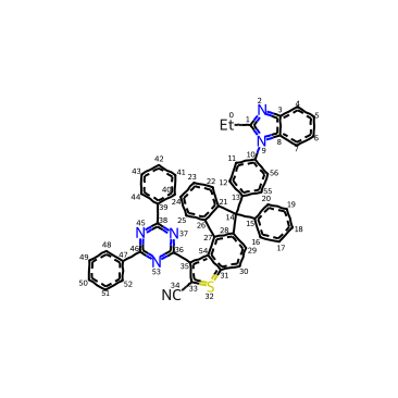 CCc1nc2ccccc2n1-c1ccc(C2(c3ccccc3)c3ccccc3-c3c2ccc2sc(C#N)c(-c4nc(-c5ccccc5)nc(-c5ccccc5)n4)c32)cc1